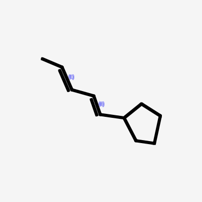 C/C=C/C=C/C1CCCC1